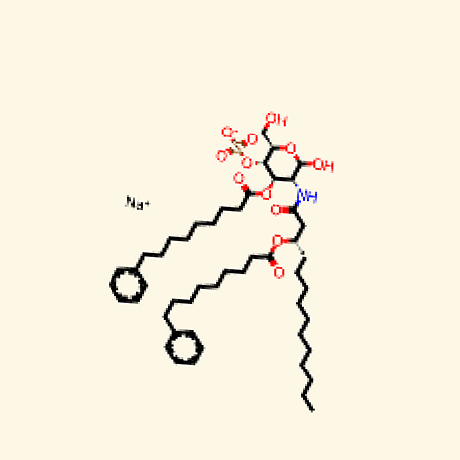 CCCCCCCCCCC[C@@H](CC(=O)N[C@H]1C(O)O[C@H](CO)[C@@H](OS(=O)(=O)[O-])[C@@H]1OC(=O)CCCCCCCCc1ccccc1)OC(=O)CCCCCCCCc1ccccc1.[Na+]